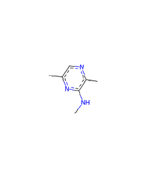 CNc1nc(C)cnc1C